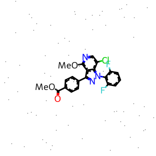 COC(=O)c1ccc(-c2nn(-c3c(F)cccc3F)c3c(Cl)cnc(OC)c23)cc1